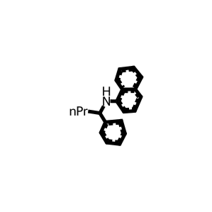 CCCC(Nc1cccc2ccccc12)c1ccccc1